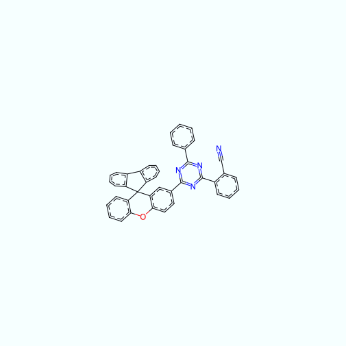 N#Cc1ccccc1-c1nc(-c2ccccc2)nc(-c2ccc3c(c2)C2(c4ccccc4O3)c3ccccc3-c3ccccc32)n1